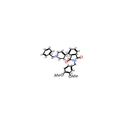 COc1ccc(CN2C(=O)c3cccc(C4=CCN(Cc5ccccc5)CC4)c3C2=O)cc1OC